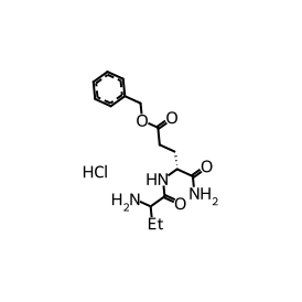 CCC(N)C(=O)N[C@H](CCC(=O)OCc1ccccc1)C(N)=O.Cl